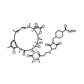 CNC(=O)C1CCC(CN2C(=O)CC(SCCC(=O)N(C)[C@@H](C)C(=O)O[C@H]3CC(=O)N(C)c4cc(cc(C)c4Cl)C/C(C)=C/C=C/[C@@H](C)[C@@]4(O)CC(OC(=O)N4)[C@@H](C)[C@@H]4O[C@@]34C)C2=O)CC1